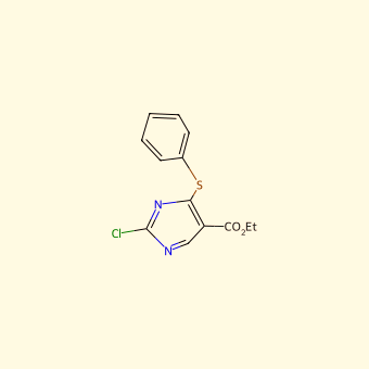 CCOC(=O)c1cnc(Cl)nc1Sc1ccccc1